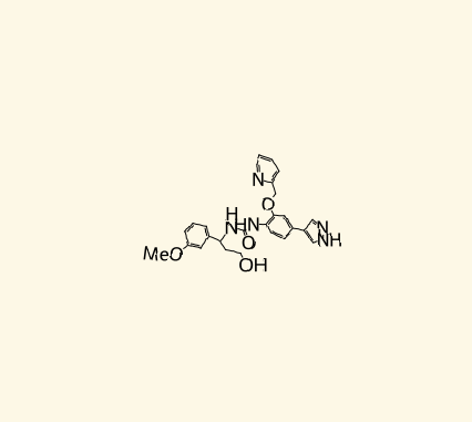 COc1cccc(C(CCO)NC(=O)Nc2ccc(-c3cn[nH]c3)cc2OCc2ccccn2)c1